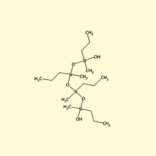 CCC[Si](C)(O)O[Si](C)(CCC)O[Si](C)(CCC)O[Si](C)(O)CCC